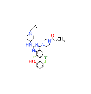 C=CC(=O)N1CCN(c2nc(NC3CCN(CC4CC4)CC3)nc3c(F)c(-c4c(O)cccc4F)c(Cl)cc23)CC1